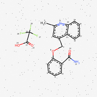 Cc1cc(COc2ccccc2C(N)=O)c2ccccc2n1.O=C(O)C(F)(F)F